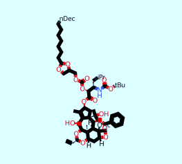 C=C[C@H]1O[C@H]2C[C@H]3OC[C@@]3(OC(C)=O)[C@H]3[C@H](OC(=O)c4ccccc4)[C@]4(C(C)(C)O)C[C@H](OC(=O)[C@H](OC(=O)OCC5COC(CCCCCCCCCCCCCCCCC)O5)[C@H](CC(C)C)NC(=O)OC(C)(C)C)C(C)=C4[C@H](O)[C@H](O1)[C@]23C